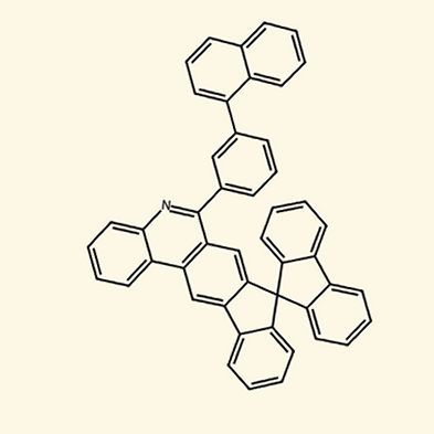 c1cc(-c2cccc3ccccc23)cc(-c2nc3ccccc3c3cc4c(cc23)C2(c3ccccc3-c3ccccc32)c2ccccc2-4)c1